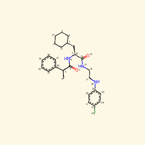 CC(C(=O)N[C@@H](CC1CCCCC1)C(=O)NCCNc1ccc(F)cc1)c1ccccc1